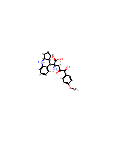 COc1ccc(C(=O)C(=O)CC(N)(C(=O)O)C2c3ccccc3NC3CCCC32)cc1